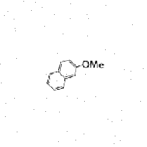 COc1ccc2[c]cccc2c1